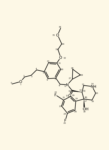 COCCCc1cc(CN(C(=O)[C@H]2CNCC[C@]2(O)c2cc(F)cc(F)c2)C2CC2)cc(OCCOC)c1